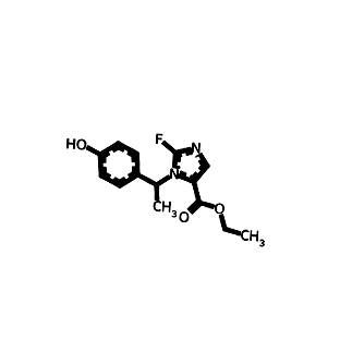 CCOC(=O)c1cnc(F)n1C(C)c1ccc(O)cc1